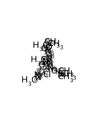 CCn1cc2c(Cl)c(-c3cn(COCC[Si](C)(C)C)c4nc(N5CC6CC5CN(C(=O)OC(C)(C)C)C6)n(C)c(=O)c34)ccc2n1